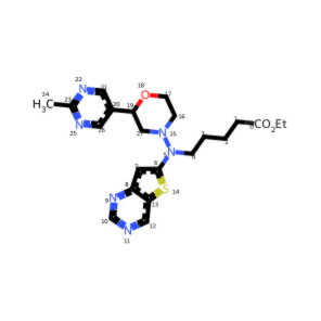 CCOC(=O)CCCCN(c1cc2ncncc2s1)N1CCOC(c2cnc(C)nc2)C1